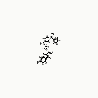 Cc1c(C(=O)N2CC(N[C@H]3CCN(C(=O)c4nccs4)C3)C2)sc2cc(F)ccc12